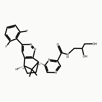 CC1(C)[C@H]2CC[C@]1(c1cncc(C(=O)NCC(O)CO)n1)c1nnc(-c3c(F)cccc3F)cc12